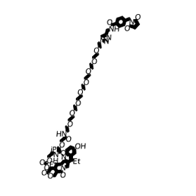 CCc1c2c(nc3ccc(O)cc13)C1CC3C(COC(=O)C3(CC)OC(=O)OCC(NC(=O)COCC(=O)NCCOCCOCCOCCOCCOCCOCCOCCOCCn3cc(CNC(=O)C4CCC(CN5C(=O)C=CC5=O)CC4)nn3)C(C)C)C(=O)N1C2